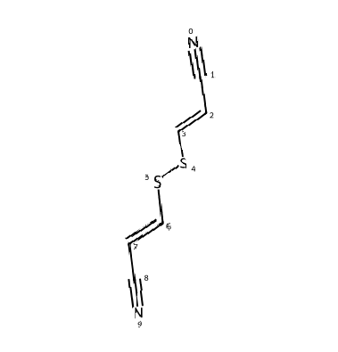 N#CC=CSSC=CC#N